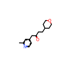 Cc1cc(CC(=O)CCC2CCOCC2)ccn1